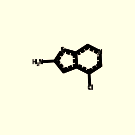 Nc1cc2c(Cl)cncc2s1